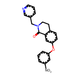 O=C1c2cc(Oc3cccc([N+](=O)[O-])c3)ccc2CCN1Cc1cccnc1